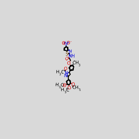 COc1cc(C2=NN(C(C)=O)C(c3ccc(C)c(OCC(=O)Nc4nc5cc([N+](=O)[O-])ccc5s4)c3)C2)cc(OC)c1OC